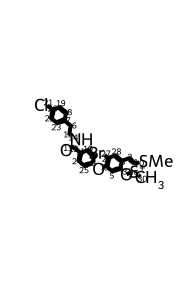 CSC(=Cc1ccc(Oc2ccc(C(=O)NCCc3ccc(Cl)cc3)cc2)c(Br)c1)[S+](C)[O-]